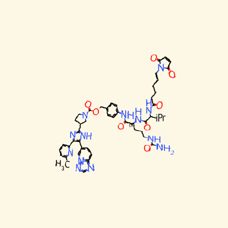 Cc1cccc(-c2nc(C3CCN(C(=O)OCc4ccc(NC(=O)[C@H](CCCNC(N)=O)NC(=O)C(NC(=O)CCCCCN5C(=O)C=CC5=O)C(C)C)cc4)C3)[nH]c2-c2ccc3ncnn3c2)n1